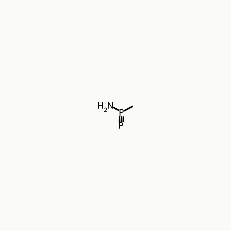 CP(N)#P